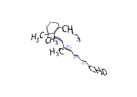 CC1=C(/C=C/C(C)=C/C=C/C=C/C=O)C(C)(C)CCC1